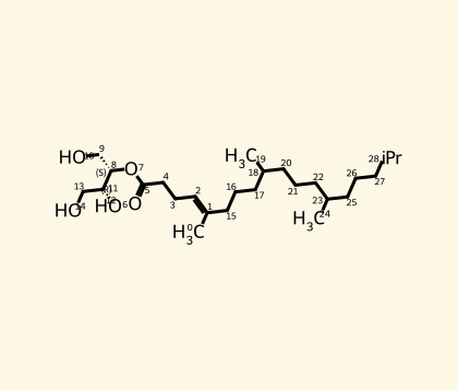 CC(=CCCC(=O)O[C@@H](CO)[C@H](O)CO)CCCC(C)CCCC(C)CCCC(C)C